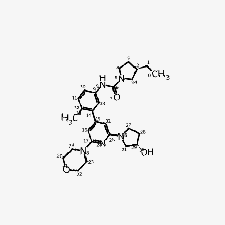 CC[C@@H]1CCN(C(=O)Nc2ccc(C)c(-c3cc(N4CCOCC4)nc(N4CC[C@H](O)C4)c3)c2)C1